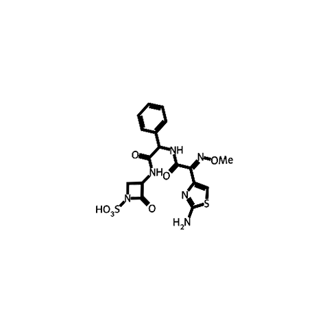 CON=C(C(=O)NC(C(=O)NC1CN(S(=O)(=O)O)C1=O)c1ccccc1)c1csc(N)n1